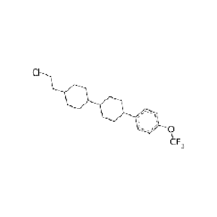 FC(F)(F)Oc1ccc(C2CCC(C3CCC(CCCl)CC3)CC2)cc1